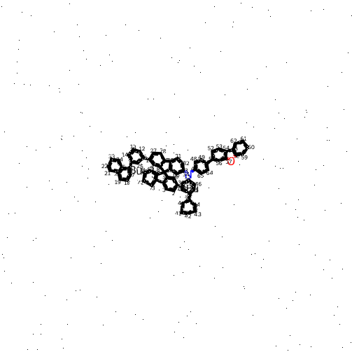 CC(C)(C)c1ccc2c(c1)C1(c3cc(-c4cccc(-c5cccc6ccccc56)c4)ccc3-c3ccc(N(c4ccc(-c5ccccc5)cc4)c4ccc(-c5ccc6c(c5)oc5ccccc56)cc4)cc31)c1cc(C(C)(C)C)ccc1-2